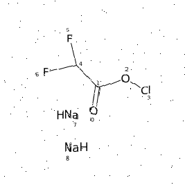 O=C(OCl)C(F)F.[NaH].[NaH]